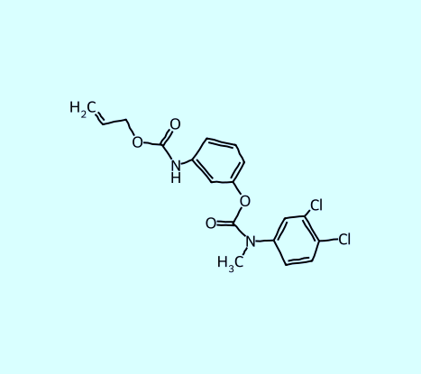 C=CCOC(=O)Nc1cccc(OC(=O)N(C)c2ccc(Cl)c(Cl)c2)c1